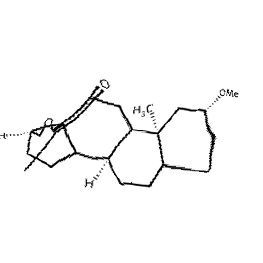 CO[C@@H]1CCC2CC[C@@H]3C(CC[C@]45C(=O)OC[C@H]4CCC35)[C@@]2(C)C1